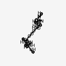 CNCC(=O)N[C@@H]1C(=O)N2[C@@H](CC[C@@H]1CCNCc1ccccc1)CC[C@H]2C(=O)N[C@H](C(=O)NCCCOCCOCCOCCCNC(=O)[C@@H](NC(=O)[C@@H]1CC[C@@H]2CC[C@H](CCNCc3ccccc3)[C@H](NC(=O)CNC)C(=O)N21)c1ccccc1)c1ccccc1